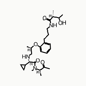 CC(=O)[C@@H](C)N(C)C(=O)[C@@H](NC[C@@H](C)Oc1ccccc1CCCNC(=O)[C@H](C)C(C)O)C1CC1